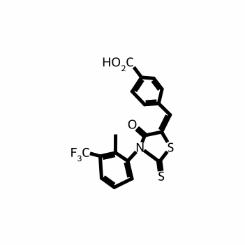 Cc1c(N2C(=O)/C(=C\c3ccc(C(=O)O)cc3)SC2=S)cccc1C(F)(F)F